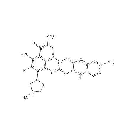 Nc1c(F)c(N2CC[C@H](N)C2)c2oc3cc4[nH]c5ccc([N+](=O)[O-])cc5oc4cc3n3cc(C(=O)O)c(=O)c1c23